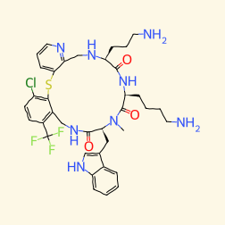 CN1C(=O)[C@H](CCCCN)NC(=O)[C@H](CCCN)NCc2ncccc2Sc2c(Cl)ccc(C(F)(F)F)c2CNC(=O)[C@@H]1Cc1c[nH]c2ccccc12